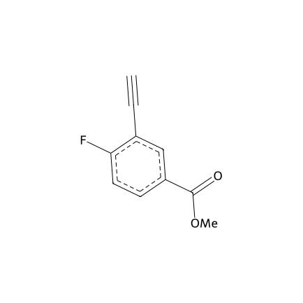 C#Cc1cc(C(=O)OC)ccc1F